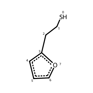 SCCc1ccco1